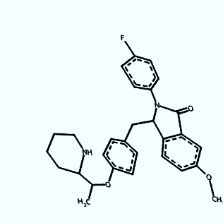 COc1ccc2c(c1)C(=O)N(c1ccc(F)cc1)C2Cc1ccc(OC(C)C2CCCCN2)cc1